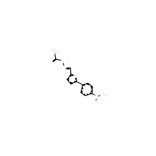 CN(C)c1ccc(-c2ccc(/C=N/NC(N)=S)o2)cc1